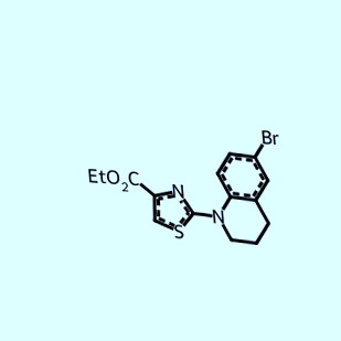 CCOC(=O)c1csc(N2CCCc3cc(Br)ccc32)n1